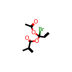 C=CC(Br)(OC(C)=O)OC(=O)C(=C)C